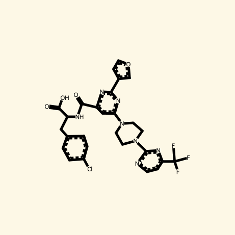 O=C(NC(Cc1ccc(Cl)cc1)C(=O)O)c1cc(N2CCN(c3nccc(C(F)(F)F)n3)CC2)nc(-c2ccoc2)n1